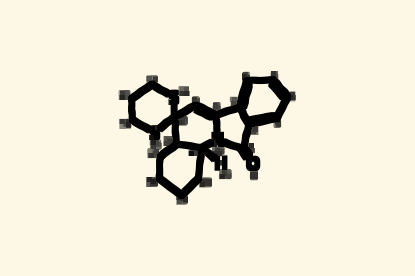 O=C1c2ccccc2C2=CC3(SCCCS3)C3CCCC[C@H]3N12